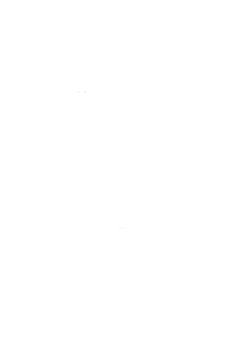 CCCCCCCCOc1ccc(C2CC(CCCC)C(=O)O2)cc1